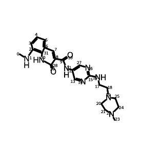 CNc1cccc2cc(C(=O)Nc3cnc(NCCN4CCN(C)CC4)nc3)c(=O)[nH]c12